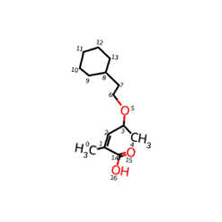 CC(=CC(C)OCCC1CCCCC1)C(=O)O